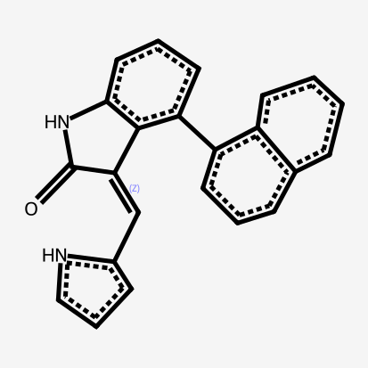 O=C1Nc2cccc(-c3cccc4ccccc34)c2/C1=C/c1ccc[nH]1